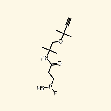 C#CC(C)(C)OCC(C)(C)NC(=O)CCP(F)S